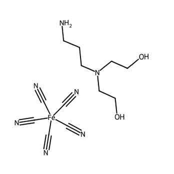 N#[C][Fe]([C]#N)([C]#N)([C]#N)[C]#N.NCCCN(CCO)CCO